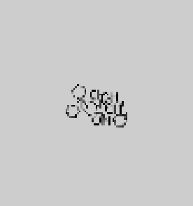 CC1C(N(C)C)C(O)(C=Cc2ccccc2)CCN1C1(c2ccccc2)CCCCC1